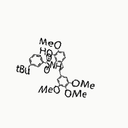 COc1ccc(C=Cc2cc(OC)c(OC)c(OC)c2)c(NS(=O)(=O)c2cccc(C(C)(C)C)c2)c1O